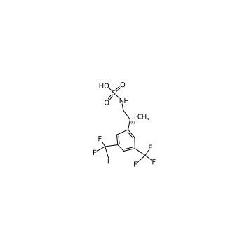 C[C@@H](CNS(=O)(=O)O)c1cc(C(F)(F)F)cc(C(F)(F)F)c1